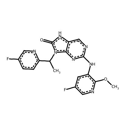 COc1ncc(F)cc1Nc1ncc2[nH]c(=O)n(C(C)c3ccc(F)cn3)c2n1